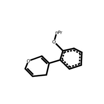 CCCOc1ccccc1C1=[C]OC=CC1